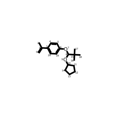 C=C(C)c1ccc(OC(OC2CCCC2)C(C)(C)C)cc1